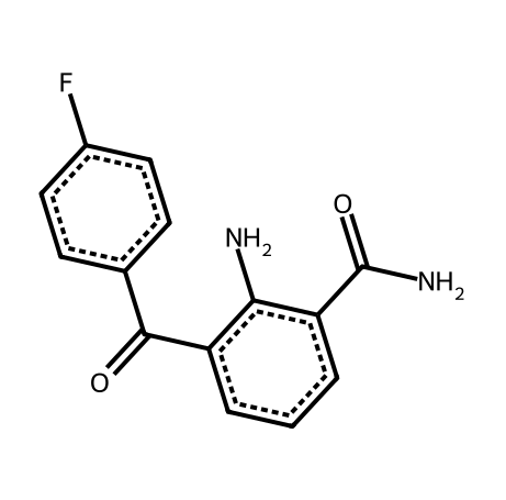 NC(=O)c1cccc(C(=O)c2ccc(F)cc2)c1N